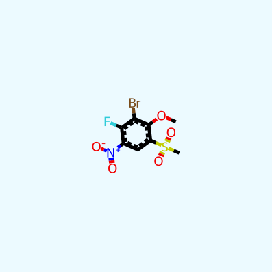 COc1c(S(C)(=O)=O)cc([N+](=O)[O-])c(F)c1Br